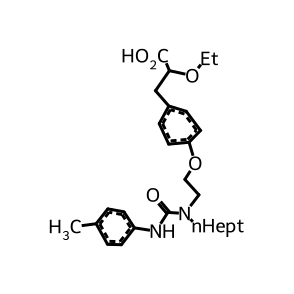 CCCCCCCN(CCOc1ccc(CC(OCC)C(=O)O)cc1)C(=O)Nc1ccc(C)cc1